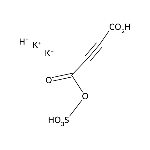 O=C(O)C#CC(=O)OS(=O)(=O)O.[H+].[K+].[K+]